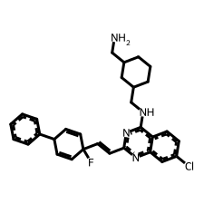 NCC1CCCC(CNc2nc(/C=C/C3(F)C=CC(c4ccccc4)C=C3)nc3cc(Cl)ccc23)C1